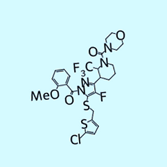 COc1ccccc1C(=O)n1nc(C2CCCN(C(=O)N3CCOCC3)C2C(F)(F)F)c(F)c1SCc1ccc(Cl)s1